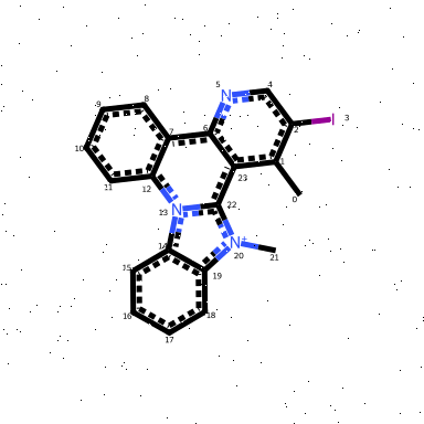 Cc1c(I)cnc2c3ccccc3n3c4ccccc4[n+](C)c3c12